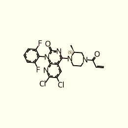 C=CC(=O)N1CCN(c2nc(=O)n(-c3c(F)cccc3F)c3nc(Cl)c(Cl)cc23)[C@@H](C)C1